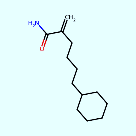 C=C(CCCCC1CCCCC1)C(N)=O